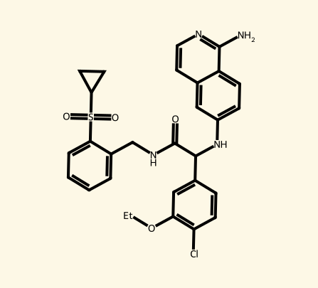 CCOc1cc(C(Nc2ccc3c(N)nccc3c2)C(=O)NCc2ccccc2S(=O)(=O)C2CC2)ccc1Cl